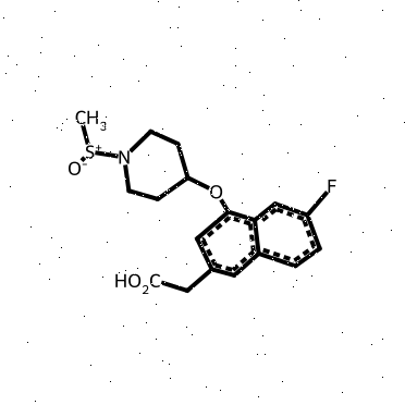 C[S+]([O-])N1CCC(Oc2cc(CC(=O)O)cc3ccc(F)cc23)CC1